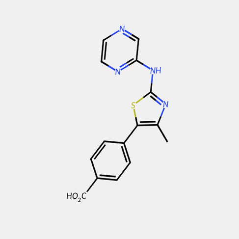 Cc1nc(Nc2cnccn2)sc1-c1ccc(C(=O)O)cc1